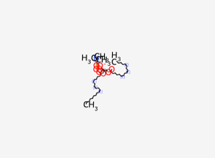 CCCCC/C=C\C/C=C\C/C=C\CCCCC(=O)OC[C@H](COP(=O)([O-])OCC[N+](C)(C)C)OC(=O)CCC/C=C\C/C=C\C/C=C\CCCCCCCC